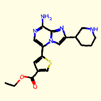 CCOC(=O)c1csc(-c2cnc(N)c3nc(C4CCCNC4)cn23)c1